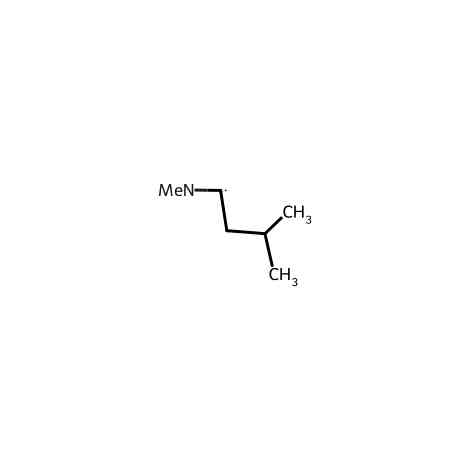 CN[CH]CC(C)C